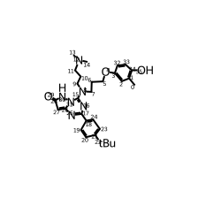 Cc1cc(OCCCN(CCCN(C)C)c2nc(-c3ccc(C(C)(C)C)cc3)nc3cc(=O)[nH]n23)ccc1O